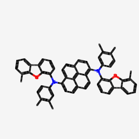 Cc1ccc(N(c2ccc3ccc4c(N(c5ccc(C)c(C)c5)c5cccc6c5oc5c(C)cccc56)ccc5ccc2c3c54)c2cccc3c2oc2c(C)cccc23)cc1C